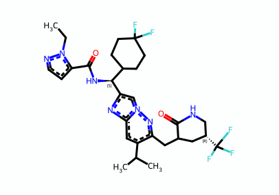 CCn1nccc1C(=O)N[C@H](c1cn2nc(CC3C[C@@H](C(F)(F)F)CNC3=O)c(C(C)C)cc2n1)C1CCC(F)(F)CC1